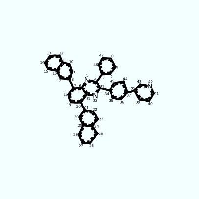 c1ccc(-c2nc3c(-c4ccc5ccccc5c4)ccc(-c4ccc5ccccc5c4)c3nc2-c2ccc(-c3cccnc3)cc2)cc1